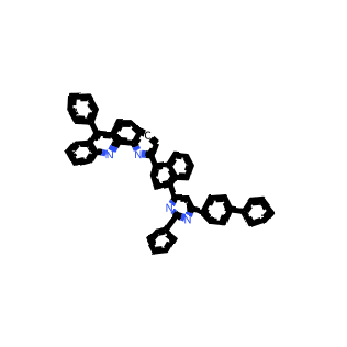 c1ccc(-c2ccc(-c3cc(-c4ccc(-c5ccc6ccc7c(-c8ccccc8)c8ccccc8nc7c6n5)c5ccccc45)nc(-c4ccccc4)n3)cc2)cc1